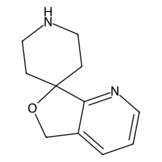 c1cnc2c(c1)COC21CCNCC1